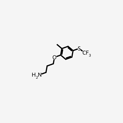 Cc1cc(SC(F)(F)F)ccc1OCCCN